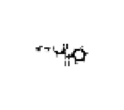 CCCCCCC(=O)NC1CCCCC1